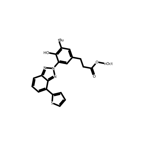 CCCCCCCCOC(=O)CCc1cc(-n2nc3cccc(-c4cccs4)c3n2)c(O)c(C(C)(C)C)c1